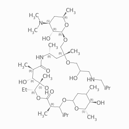 CC[C@@H](OC(=O)[C@H](C)C(OC1CC(C)[C@@H](O)[C@H](C)O1)C(C)C)[C@@](C)(O)[C@H](O)[C@@H](C)C(=O)N[C@H](C)C[C@](C)(CO[C@@H]1O[C@H](C)C[C@H](N(C)C)[C@H]1O)OCC(O)CNCC(C)C